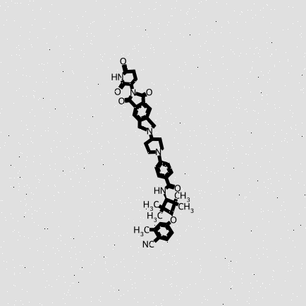 Cc1cc(O[C@H]2C(C)(C)[C@H](NC(=O)c3ccc(N4CCC(N5Cc6cc7c(cc6C5)C(=O)N(C5CCC(=O)NC5=O)C7=O)CC4)cc3)C2(C)C)ccc1C#N